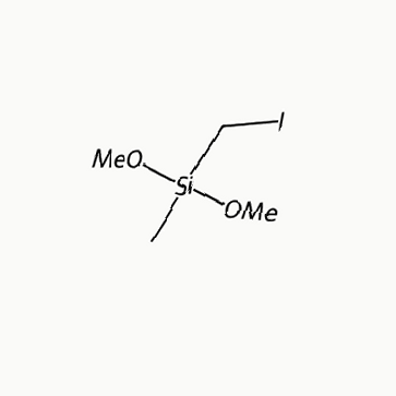 CO[Si](C)(CI)OC